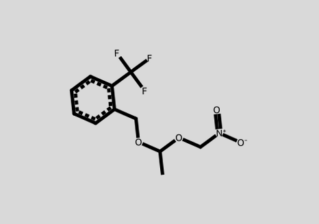 CC(OCc1ccccc1C(F)(F)F)OC[N+](=O)[O-]